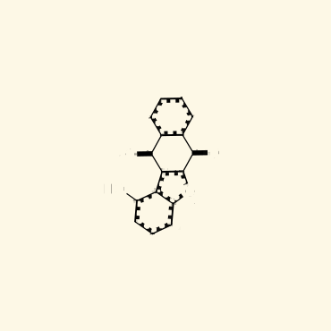 O=C1c2ccccc2C(=O)c2c1oc1cccc(O)c21